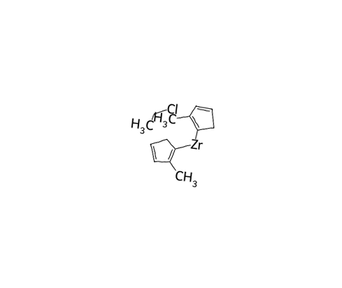 CC1=[C]([Zr][C]2=C(C)C=CC2)CC=C1.CCCl